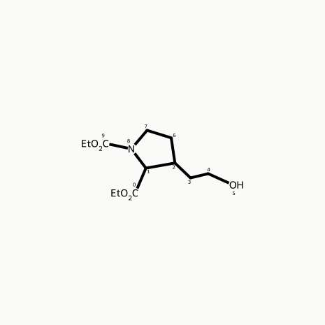 CCOC(=O)C1C(CCO)CCN1C(=O)OCC